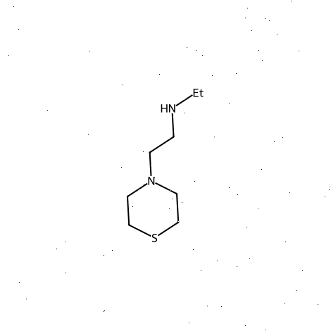 CCNCCN1CCSCC1